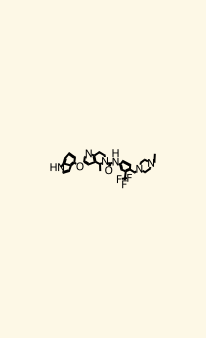 CCN1CCN(Cc2ccc(NC(=O)N3CCc4ncc(Oc5cccc6[nH]ccc56)cc4C3C)cc2C(F)(F)F)CC1